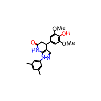 COc1cc(C2CC(=O)Nc3c2cnn3-c2cc(C)cc(C)c2)cc(OC)c1O